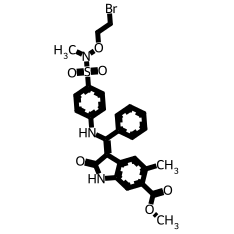 COC(=O)c1cc2c(cc1C)/C(=C(/Nc1ccc(S(=O)(=O)N(C)OCCBr)cc1)c1ccccc1)C(=O)N2